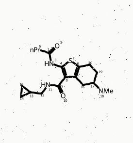 CCCC(=O)Nc1sc2c(c1C(=O)NCC1CC1)CC(NC)CC2